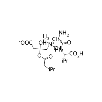 CC(C)CC(=O)OC(O)(CC(=O)[O-])C[N+](C)(C)C.CC(C)[C@H](NC(=O)CN)C(=O)O